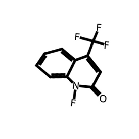 O=c1cc(C(F)(F)F)c2ccccc2n1F